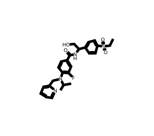 CCS(=O)(=O)c1ccc(C(CO)NC(=O)c2ccc(N(Cc3ccccn3)C(C)C)c(F)c2)cc1